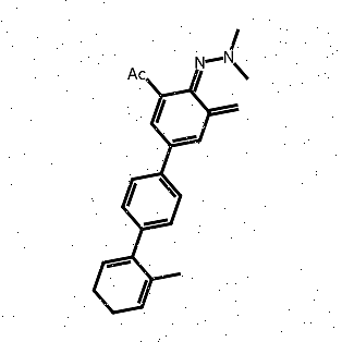 C=C1C=C(c2ccc(C3=CCCC=C3C)cc2)C=C(C(C)=O)/C1=N/N(C)C